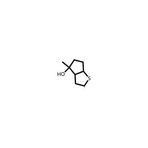 CC1(O)CCC2S[CH]CC21